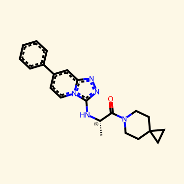 C[C@H](Nc1nnc2cc(-c3ccccc3)ccn12)C(=O)N1CCC2(CC1)CC2